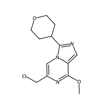 COc1nc(CCl)cn2c(C3CCOCC3)ncc12